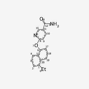 CCc1cccc2c(Oc3ccc(C(N)=O)cn3)cccc12